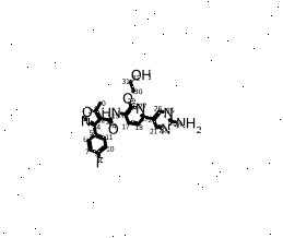 Cc1onc(-c2ccc(F)cc2)c1C(=O)Nc1ccc(-c2cnc(N)nc2)nc1OCCO